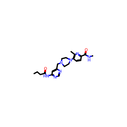 CCCC(=O)Nc1cc(CN2CCN(c3ccc(C(=O)NC)nc3C)CC2)ncn1